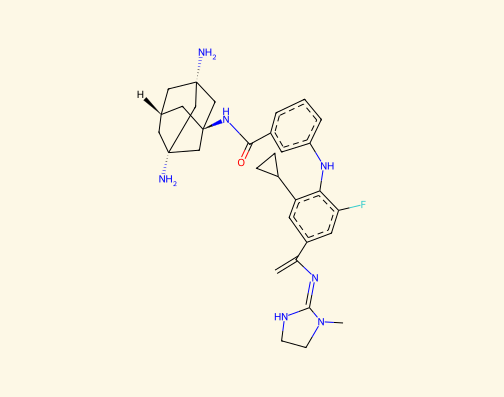 C=C(/N=C1\NCCN1C)c1cc(F)c(Nc2cccc(C(=O)N[C@@]34C[C@@H]5C[C@@](N)(C[C@@](N)(C5)C3)C4)c2)c(C2CC2)c1